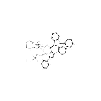 Cc1ccc(C2=N/C(=C(/CCCCC3CCCCC3)c3c(-c4ccccc4)cc(-c4ccccc4)n3B(OCC(F)(F)C(F)(F)F)OCC(F)(F)C(F)(F)F)c3ccccc32)cc1